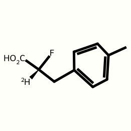 [2H][C@@](F)(Cc1ccc(C)cc1)C(=O)O